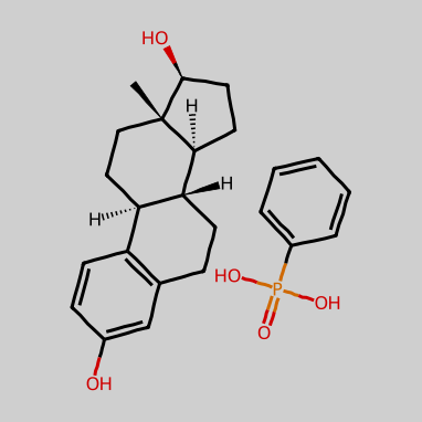 C[C@]12CC[C@@H]3c4ccc(O)cc4CC[C@H]3[C@@H]1CC[C@@H]2O.O=P(O)(O)c1ccccc1